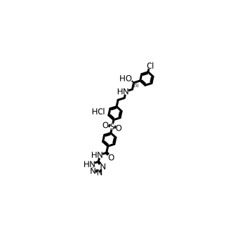 Cl.O=C(Nc1nnn[nH]1)c1ccc(S(=O)(=O)c2ccc(CCNC[C@@H](O)c3cccc(Cl)c3)cc2)cc1